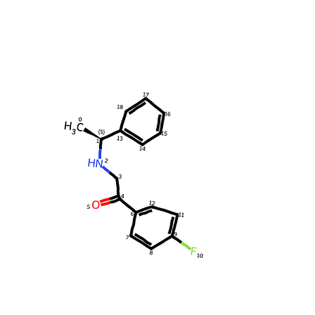 C[C@H](NCC(=O)c1ccc(F)cc1)c1ccccc1